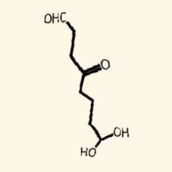 O=CCCC(=O)CCCC(O)O